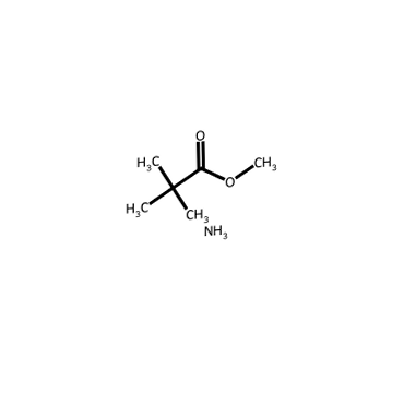 COC(=O)C(C)(C)C.N